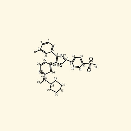 Cc1cccc(-c2nc(-c3ccc(S(C)(=O)=O)cc3)sc2-c2ccnc(N(C)C3CCCCC3)c2)c1